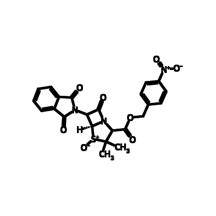 CC1(C)C(C(=O)OCc2ccc([N+](=O)[O-])cc2)N2C(=O)C(N3C(=O)c4ccccc4C3=O)[C@@H]2[S+]1[O-]